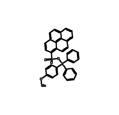 CC(C)(C)Oc1ccc(S(OS(=O)(=O)c2ccc3ccc4cccc5ccc2c3c45)(c2ccccc2)c2ccccc2)cc1